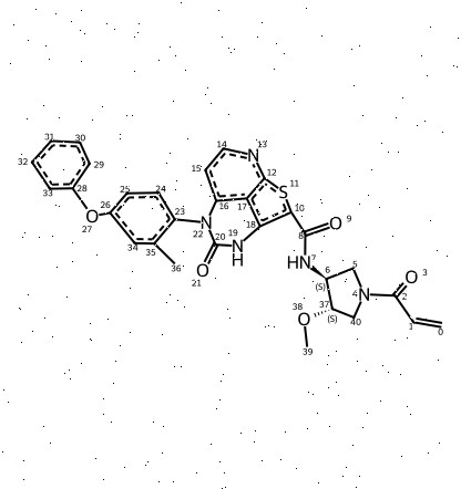 C=CC(=O)N1C[C@H](NC(=O)c2sc3nccc4c3c2NC(=O)N4c2ccc(Oc3ccccc3)cc2C)[C@@H](OC)C1